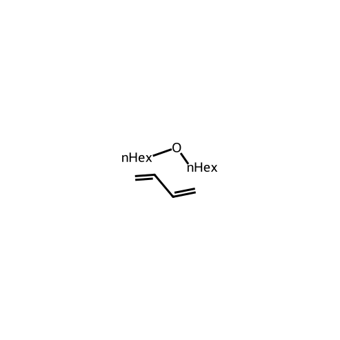 C=CC=C.CCCCCCOCCCCCC